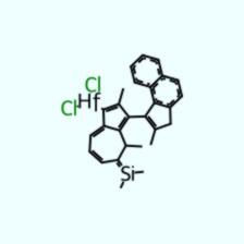 CC1=C(C2=C3C(=CC=CC(=[Si](C)C)C3C)[C]([Hf]([Cl])[Cl])=C2C)c2c(ccc3ccccc23)C1